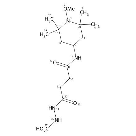 CON1C(C)(C)CC(NC(=O)CCC(=O)NNC(=O)O)CC1(C)C